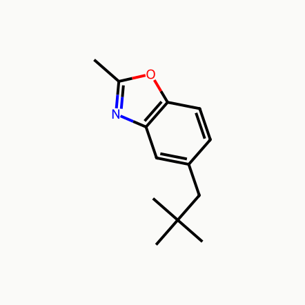 Cc1nc2cc(CC(C)(C)C)ccc2o1